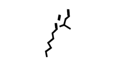 C=C.C=CCC(C)C.C=CCCCCCC